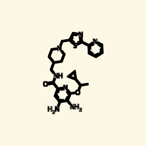 CC(Oc1nc(C(=O)NCC2CCN(Cc3cnc(-c4ccccn4)s3)CC2)cc(N)c1N)C1CC1